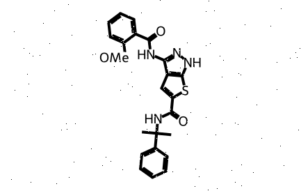 COc1ccccc1C(=O)Nc1n[nH]c2sc(C(=O)NC(C)(C)c3ccccc3)cc12